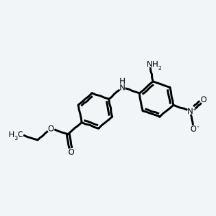 CCOC(=O)c1ccc(Nc2ccc([N+](=O)[O-])cc2N)cc1